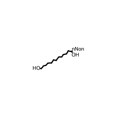 CCCCCCCCCC(O)CCCCCCCCCCCCO